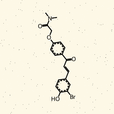 CN(C)C(=O)COc1ccc(C(=O)/C=C/c2ccc(O)c(Br)c2)cc1